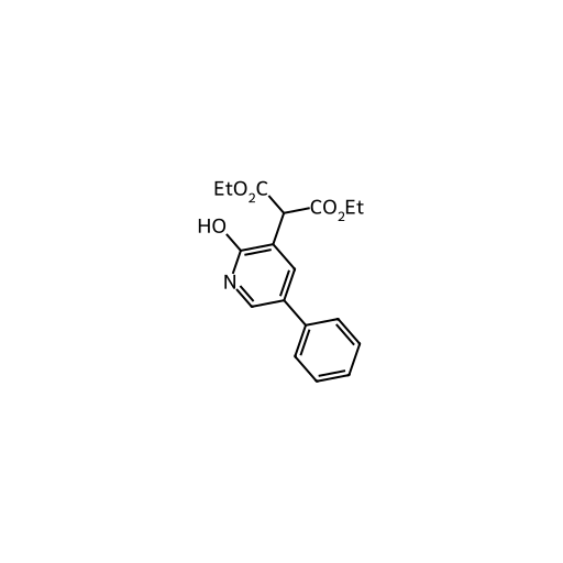 CCOC(=O)C(C(=O)OCC)c1cc(-c2ccccc2)cnc1O